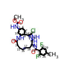 COC(=O)Nc1ccc2c(c1)NC(=O)CC/C=C/C[C@H](NC(=O)c1c(F)cc(C)cc1F)c1nc-2c(Cl)[nH]1